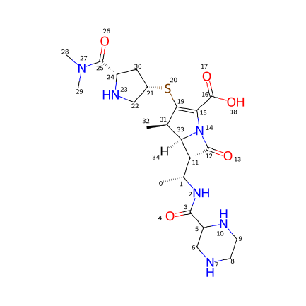 C[C@@H](NC(=O)C1CNCCN1)[C@H]1C(=O)N2C(C(=O)O)=C(S[C@@H]3CN[C@H](C(=O)N(C)C)C3)[C@H](C)[C@H]12